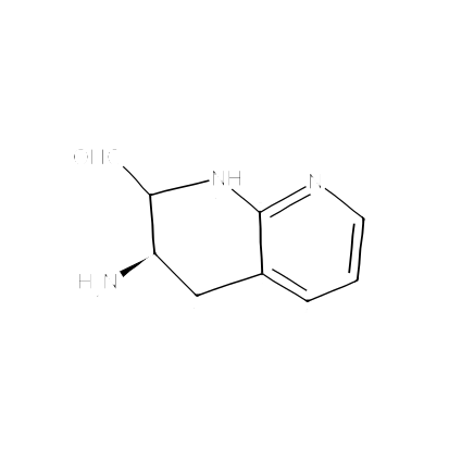 N[C@@H]1Cc2cccnc2NC1C=O